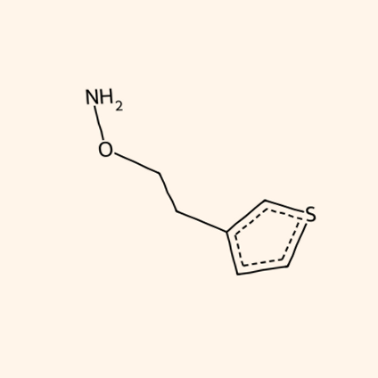 NOCCc1ccsc1